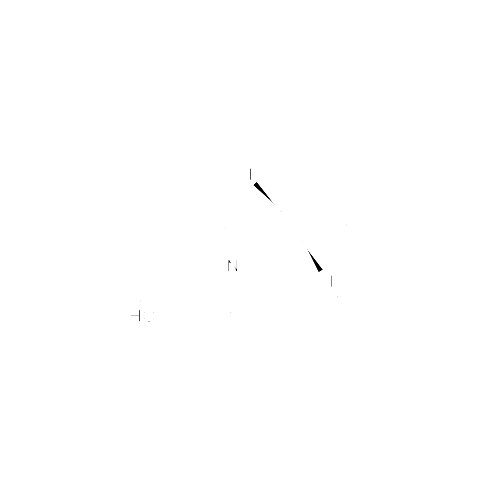 CN1C2=CC(O)CC1[C@H]1CC[C@@H]21